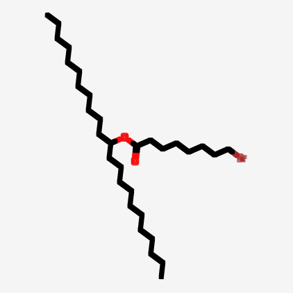 CCCCCCCCCCCC(CCCCCCCCCCC)OC(=O)CCCCCCCBr